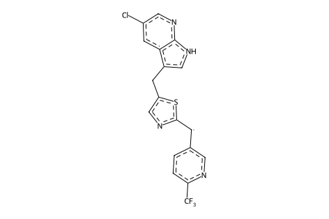 FC(F)(F)c1ccc([CH]c2ncc(Cc3c[nH]c4ncc(Cl)cc34)s2)cn1